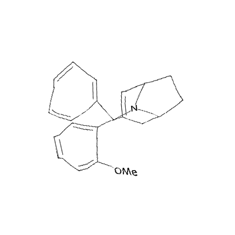 COc1ccccc1C1=CC2CCC(C1)N2Cc1ccccc1